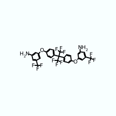 Nc1cc(Oc2ccc(C(c3ccc(Oc4cc(N)cc(C(F)(F)F)c4)cc3)(C(F)(F)F)C(F)(F)F)cc2)cc(C(F)(F)F)c1